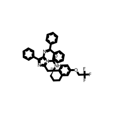 O=C1N[C@@]2(CCCc3cc(OCC(F)(F)F)ccc32)Cc2nc(-c3ccccc3)c(N=C(c3ccccc3)c3ccccc3)n21